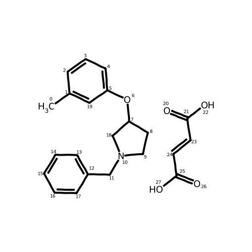 Cc1cccc(OC2CCN(Cc3ccccc3)C2)c1.O=C(O)/C=C/C(=O)O